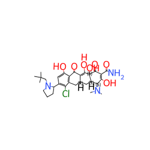 CN(C)[C@@H]1C(O)=C(C(N)=O)C(=O)[C@@]2(O)C(O)=C3C(=O)c4c(O)cc(C5CCCN5CC(C)(C)C)c(Cl)c4C[C@H]3C[C@@H]12